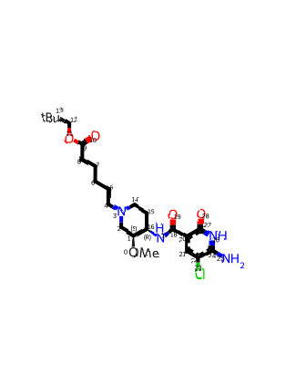 CO[C@H]1CN(CCCCCC(=O)OCC(C)(C)C)CC[C@H]1NC(=O)c1cc(Cl)c(N)[nH]c1=O